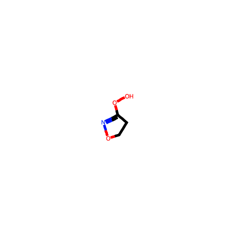 OOC1=NOCC1